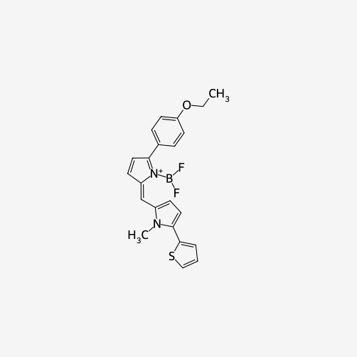 CCOc1ccc(C2=[N+](B(F)F)/C(=C\c3ccc(-c4cccs4)n3C)C=C2)cc1